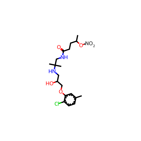 Cc1ccc(Cl)c(OCC(O)CNC(C)(C)CNC(=O)CCC(C)O[N+](=O)[O-])c1